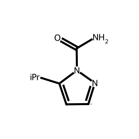 CC(C)c1c[c]nn1C(N)=O